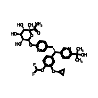 CC(C)(O)c1ccc([C@@H](Cc2ccc(O[C@@H]3O[C@](C)(C(N)=O)[C@@H](O)[C@H](O)[C@H]3O)nc2)c2ccc(OC(F)F)c(OC3CC3)c2)cn1